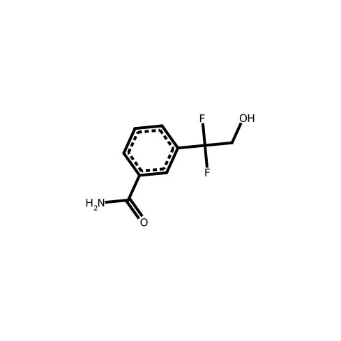 NC(=O)c1cccc(C(F)(F)CO)c1